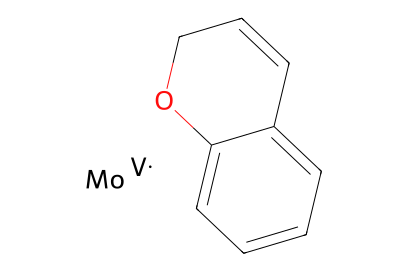 C1=Cc2ccccc2OC1.[Mo].[V]